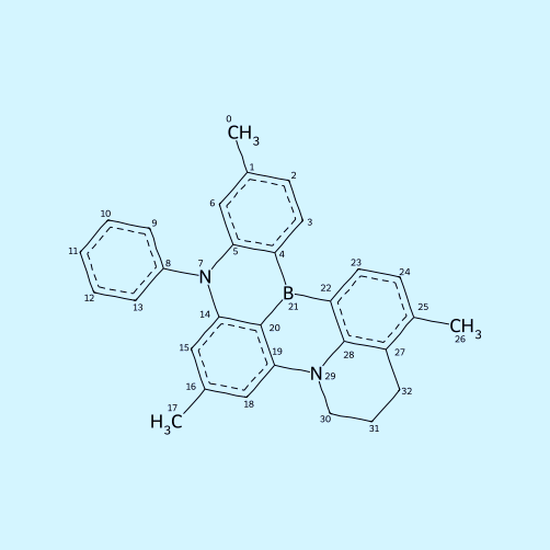 Cc1ccc2c(c1)N(c1ccccc1)c1cc(C)cc3c1B2c1ccc(C)c2c1N3CCC2